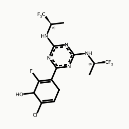 C[C@@H](Nc1nc(N[C@H](C)C(F)(F)F)nc(C2=C(F)C(O)C(Cl)=CC2)n1)C(F)(F)F